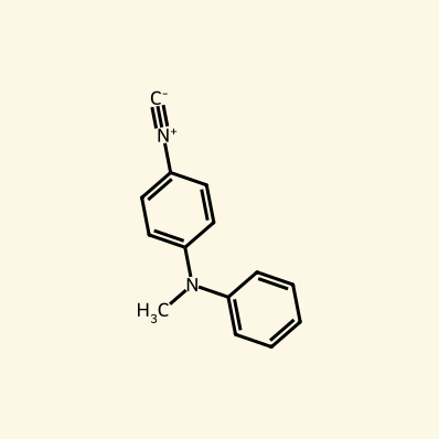 [C-]#[N+]c1ccc(N(C)c2ccccc2)cc1